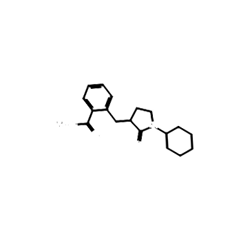 COC(=O)c1ccccc1CC1CCN(C2CCCCC2)C1=O